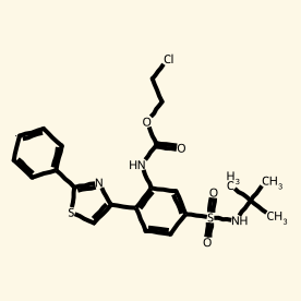 CC(C)(C)NS(=O)(=O)c1ccc(-c2csc(-c3cc[c]cc3)n2)c(NC(=O)OCCCl)c1